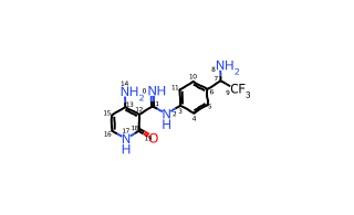 N=C(Nc1ccc(C(N)C(F)(F)F)cc1)c1c(N)cc[nH]c1=O